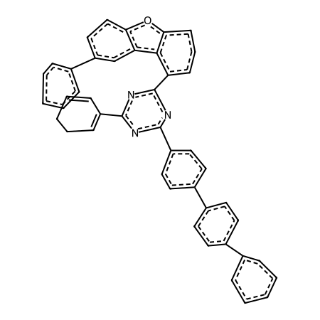 C1=CC(c2nc(-c3ccc(-c4ccc(-c5ccccc5)cc4)cc3)nc(-c3cccc4oc5ccc(-c6ccccc6)cc5c34)n2)=CCC1